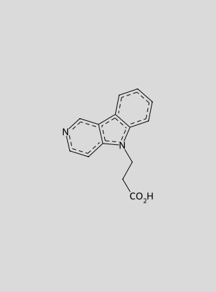 O=C(O)CCn1c2ccccc2c2cnccc21